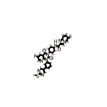 CSc1ncc(-c2cccc(-n3c(=O)n(C4CCC(NC(=O)c5cn6cc(F)ccc6n5)CC4)c(=O)c4cc(F)cnc43)c2)cn1